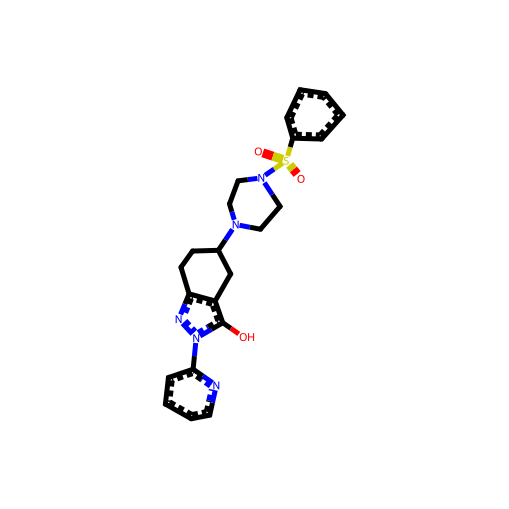 O=S(=O)(c1ccccc1)N1CCN(C2CCc3nn(-c4ccccn4)c(O)c3C2)CC1